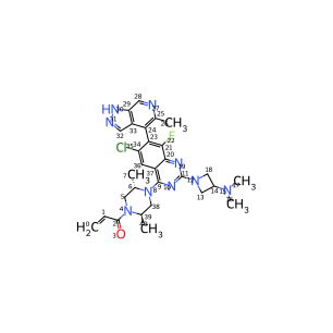 C=CC(=O)N1C[C@H](C)N(c2nc(N3CC(N(C)C)C3)nc3c(F)c(-c4c(C)ncc5[nH]ncc45)c(Cl)cc23)C[C@H]1C